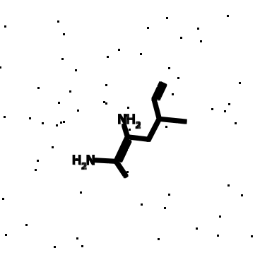 C=CC(C)C/C(N)=C(\C)N